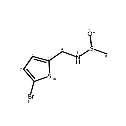 C[S+]([O-])NCc1ccc(Br)s1